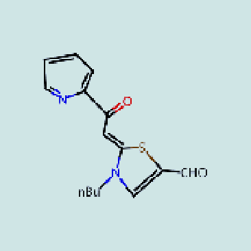 CCCCN1C=C(C=O)SC1=CC(=O)c1ccccn1